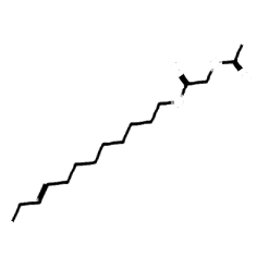 CCC=CCCCCCCCCOC(=O)COC(C)=O